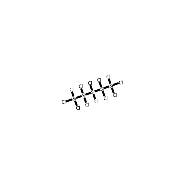 Cl[Si](Cl)(Cl)[Si](Cl)(Cl)[Si](Cl)(Cl)[Si](Cl)(Cl)[Si](Cl)(Cl)Cl